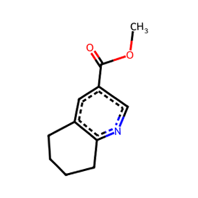 COC(=O)c1cnc2c(c1)CCCC2